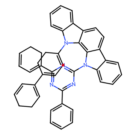 C1=CCCC(c2nc(-c3ccccc3)nc(-n3c4ccccc4c4ccc5c6ccccc6n(C6=CC=C(C7=CCCC=C7)CC6)c5c43)n2)=C1